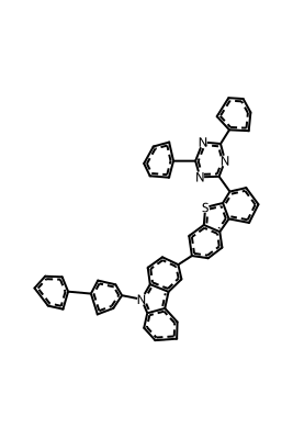 c1ccc(-c2ccc(-n3c4ccccc4c4cc(-c5ccc6c(c5)sc5c(-c7nc(-c8ccccc8)nc(-c8ccccc8)n7)cccc56)ccc43)cc2)cc1